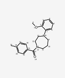 COc1ccccc1N1CCCN(C(=O)c2ccc(C)cc2)CC1